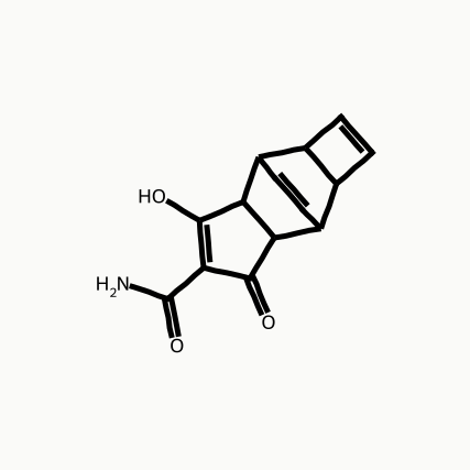 NC(=O)C1=C(O)C2C3C=CC(C4C=CC43)C2C1=O